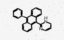 C1=CN=C(c2c3ccccc3c(-c3ccccc3)c3ccccc23)NC1